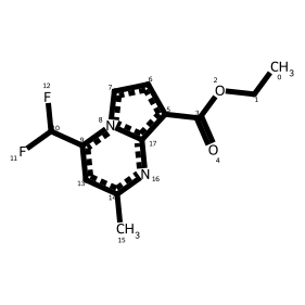 CCOC(=O)c1ccn2c(C(F)F)cc(C)nc12